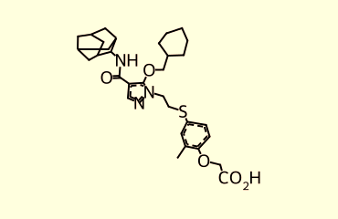 Cc1cc(SCCn2ncc(C(=O)NC3C4CC5CC(C4)CC3C5)c2OCC2CCCCC2)ccc1OCC(=O)O